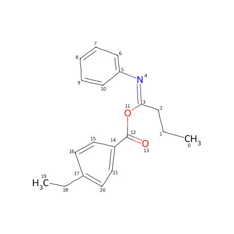 CCCC(=Nc1ccccc1)OC(=O)c1ccc(CC)cc1